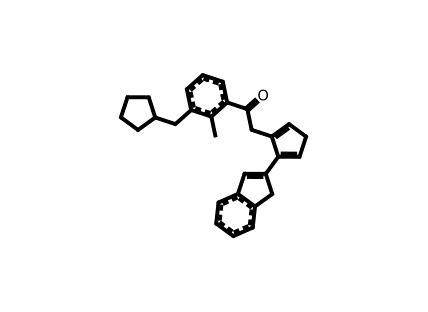 Cc1c(CC2CCCC2)cccc1C(=O)CC1=CCC=C1C1=Cc2ccccc2C1